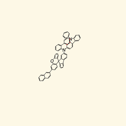 c1ccc(-c2ccccc2N(c2ccc3c(c2)C2(c4ccccc4Oc4cc(-c5ccc6ccccc6c5)ccc42)c2ccccc2-3)c2ccc3c4ccccc4n(-c4ccccc4)c3c2)cc1